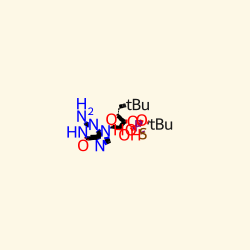 CC(C)(C)C[C@H]1O[C@@H](n2cnc3c(=O)[nH]c(N)nc32)[C@@H](O)C1OP(O)(=S)OC(C)(C)C